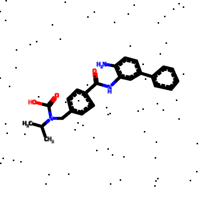 CC(C)N(Cc1ccc(C(=O)Nc2cc(-c3ccccc3)ccc2N)cc1)C(=O)O